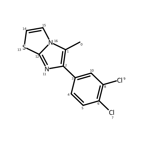 Cc1c(-c2ccc(Cl)c(Cl)c2)nc2sccn12